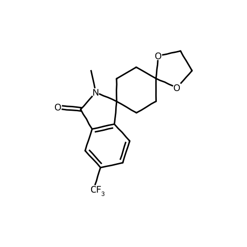 CN1C(=O)c2cc(C(F)(F)F)ccc2C12CCC1(CC2)OCCO1